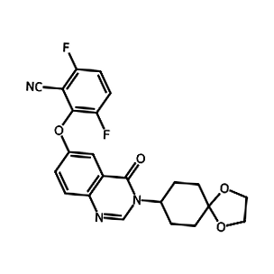 N#Cc1c(F)ccc(F)c1Oc1ccc2ncn(C3CCC4(CC3)OCCO4)c(=O)c2c1